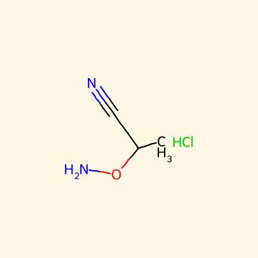 CC(C#N)ON.Cl